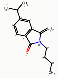 C=C1c2cc(C(C)C)ccc2C(=O)N1CCCC